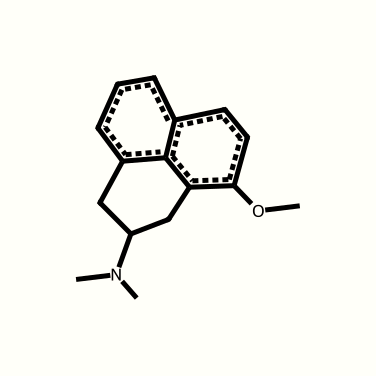 COc1ccc2cccc3c2c1CC(N(C)C)C3